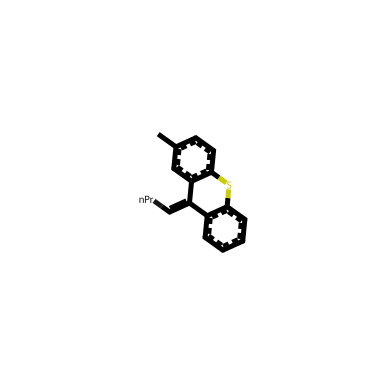 CCC/C=C1/c2ccccc2Sc2ccc(C)cc21